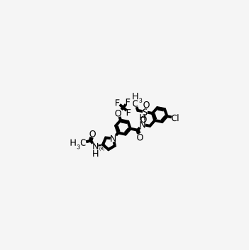 CCS(=O)(=O)c1ccc(Cl)cc1CNC(=O)c1cc(OC(F)(F)F)cc(N2CC[C@@H](NC(C)=O)C2)c1